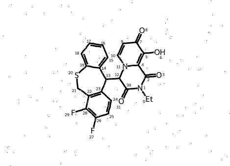 CCN1C(=O)c2c(O)c(=O)ccn2C(C2c3ccccc3SCc3c2ccc(F)c3F)C1=O